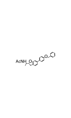 CC(=O)N[C@H](C)[C@@H]1Cc2ccc(-c3ccc(OCc4ccccc4)cc3)cc2O1